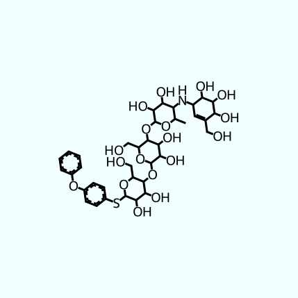 CC1OC(OC2C(CO)OC(OC3C(CO)OC(Sc4ccc(Oc5ccccc5)cc4)C(O)C3O)C(O)C2O)C(O)C(O)C1NC1C=C(CO)C(O)C(O)C1O